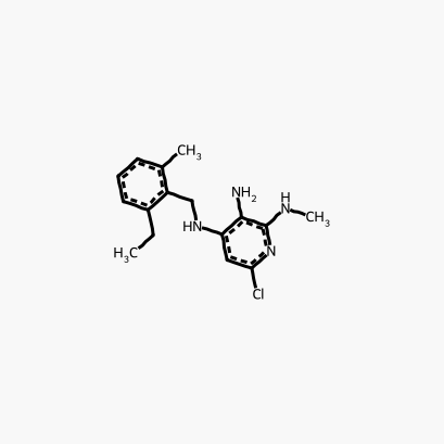 CCc1cccc(C)c1CNc1cc(Cl)nc(NC)c1N